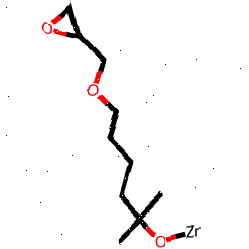 CC(C)(CCCCOCC1CO1)[O][Zr]